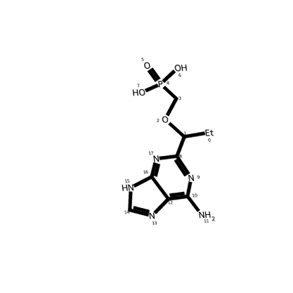 CCC(OCP(=O)(O)O)c1nc(N)c2nc[nH]c2n1